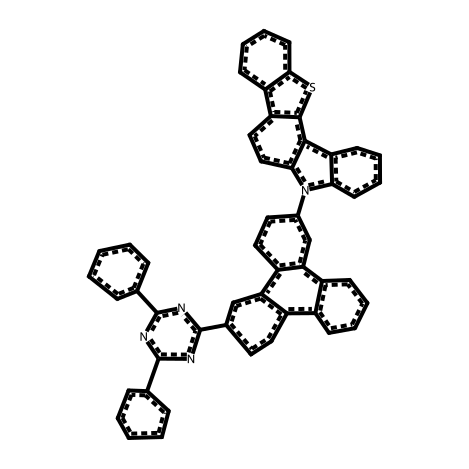 c1ccc(-c2nc(-c3ccccc3)nc(-c3ccc4c5ccccc5c5cc(-n6c7ccccc7c7c8sc9ccccc9c8ccc76)ccc5c4c3)n2)cc1